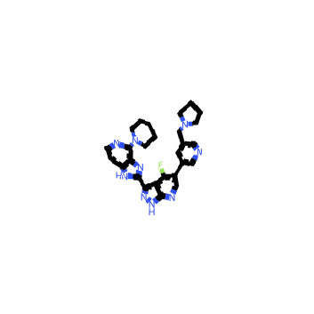 Fc1c(-c2cncc(CN3CCCC3)c2)cnc2[nH]nc(-c3nc4c(N5CCCCC5)nccc4[nH]3)c12